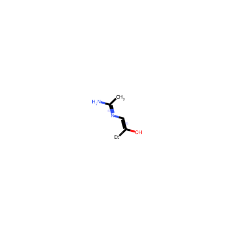 CC/C(O)=C\N=C(/C)N